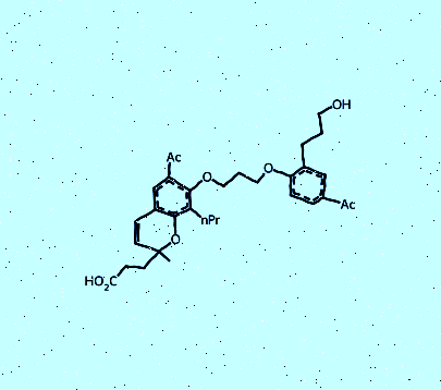 CCCc1c2c(cc(C(C)=O)c1OCCCOc1ccc(C(C)=O)cc1CCCO)C=CC(C)(CCC(=O)O)O2